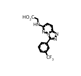 O=C(O)CNc1ccc2nnc(-c3cccc(C(F)(F)F)c3)n2n1